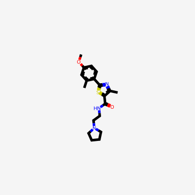 COc1ccc(-c2nc(C)c(C(=O)NCCN3CCCC3)s2)c(C)c1